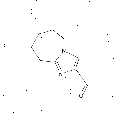 O=Cc1cn2c(n1)CCCCC2